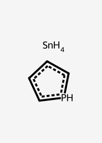 [SnH4].c1cc[pH]c1